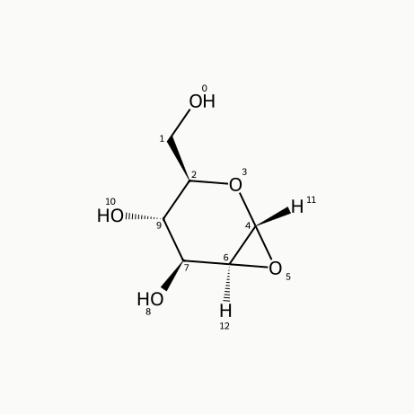 OC[C@H]1O[C@@H]2O[C@H]2[C@@H](O)[C@@H]1O